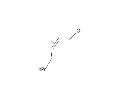 CCCC/C=C\C[O]